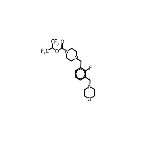 O=C(OC(C(F)(F)F)C(F)(F)F)N1CCN(Cc2cccc(CN3CCOCC3)c2F)CC1